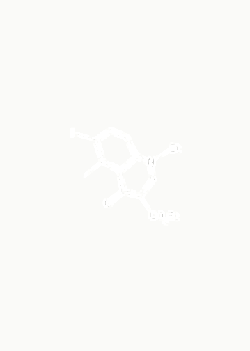 CCOC(=O)c1cn(CC)c2ccc(I)c(C)c2c1=O